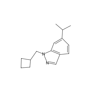 CC(C)c1ccc2cnn(CC3CCC3)c2c1